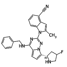 Cc1cc2c(C#N)cccc2n1-c1nc(NCc2ccccc2)c2ccc([C@@H]3CC(F)CN3)n2n1